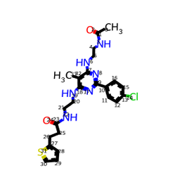 CC(=O)NCCNc1nc(-c2ccc(Cl)cc2)nc(NCCNC(=O)CCc2cccs2)c1C